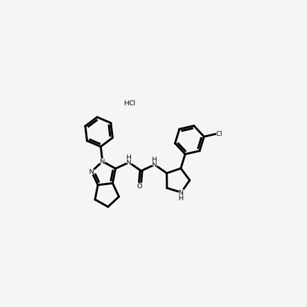 Cl.O=C(Nc1c2c(nn1-c1ccccc1)CCC2)NC1CNCC1c1cccc(Cl)c1